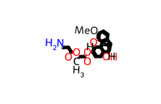 COc1ccc2c3c1O[C@H]1C(OC(=O)[C@H](C)OC(=O)CCN)=CC[C@@]4(O)[C@H](CCC[C@]314)C2